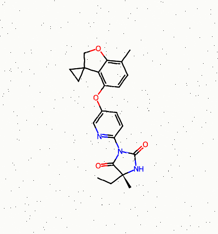 CC[C@@]1(C)NC(=O)N(c2ccc(Oc3ccc(C)c4c3C3(CC3)CO4)cn2)C1=O